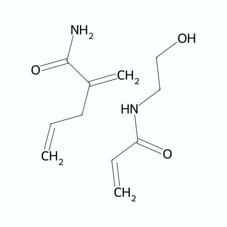 C=CC(=O)NCCO.C=CCC(=C)C(N)=O